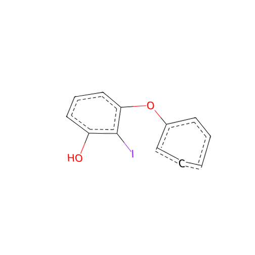 Oc1cccc(Oc2ccccc2)c1I